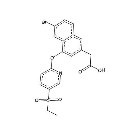 CCS(=O)(=O)c1ccc(Oc2cc(CC(=O)O)cc3ccc(Br)cc23)nc1